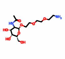 CC(=O)N[C@H]1[C@H](OCCOCCOCCN)O[C@H](CO)[C@H](O)[C@@H]1O